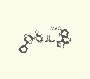 COc1ccc2ncc3c(c2n1)[C@@H](CCNC[C@H]1CN(C2=COC=C(C4=CC=CCC4)O2)C(=O)O1)CO3